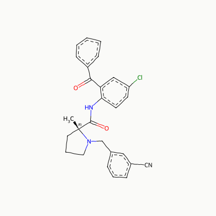 C[C@]1(C(=O)Nc2ccc(Cl)cc2C(=O)c2ccccc2)CCCN1Cc1cccc(C#N)c1